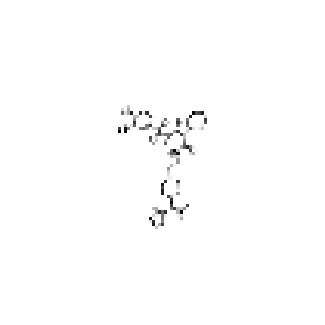 CN(C)C(c1cccs1)C1CCC(CCNC(=O)c2c(N(C)S(=O)(=O)c3ccc(Cl)c(Cl)c3)sc3c2CCCC3)CC1